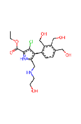 CCOC(=O)c1[nH]c(CNCCO)c(-c2ccc(CO)c(CO)c2CO)c1Cl